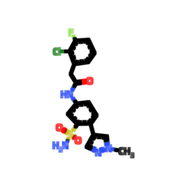 Cn1cc(-c2ccc(NC(=O)Cc3cccc(F)c3Cl)cc2S(N)(=O)=O)cn1